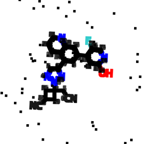 N#CCC1(n2ncc(-c3cc(-c4cc(O)ncc4F)cc4ncccc34)n2)CC(C#N)C1